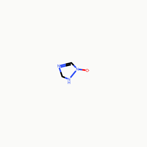 [O]N1C=NCN1